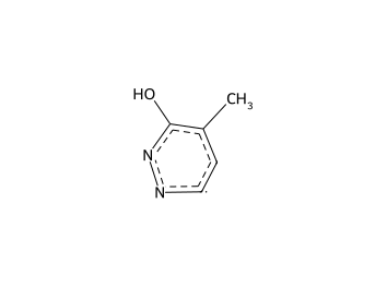 Cc1c[c]nnc1O